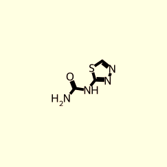 NC(=O)Nc1nncs1